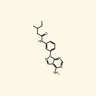 CCC(C)CC(=O)Nc1cccc(-n2ncc3c(N)ncnc32)c1